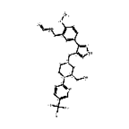 COc1ccc(-c2n[nH]cc2CN2CCN(c3ccc(C(F)(F)F)cn3)[C@H](CO)C2)cc1CNC=O